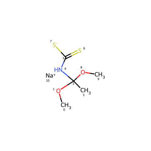 COC(C)(NC(=S)[S-])OC.[Na+]